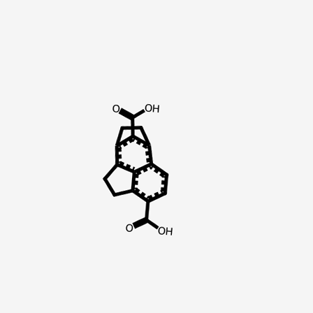 O=C(O)c1ccc2c3c(C(=O)O)c(c4c2c1CC4)CC3